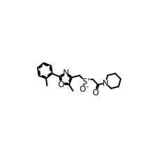 Cc1ccccc1-c1nc(C[S+]([O-])CC(=O)N2CCCCC2)c(C)o1